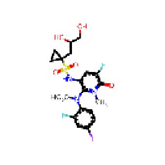 Cn1c(N(C(=O)O)c2ccc(I)cc2F)c(NS(=O)(=O)C2(CC(O)CO)CC2)cc(F)c1=O